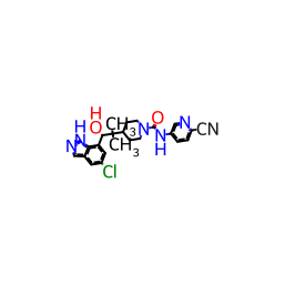 CC(C)(C1CCN(C(=O)Nc2ccc(C#N)nc2)CC1)[C@H](O)c1cc(Cl)cc2cn[nH]c12